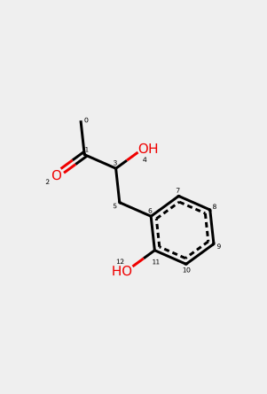 CC(=O)C(O)Cc1ccccc1O